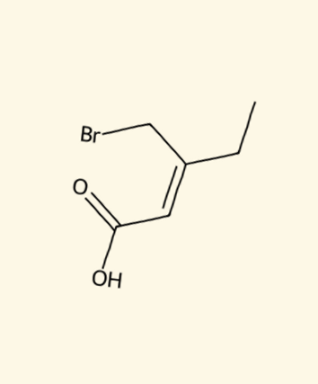 CCC(=CC(=O)O)CBr